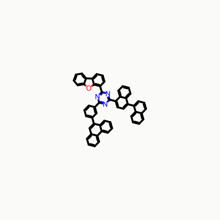 c1cc(-c2nc(-c3ccc(-c4cccc5ccccc45)c4ccccc34)nc(-c3cccc4c3oc3ccccc34)n2)cc(-c2cc3ccccc3c3ccccc23)c1